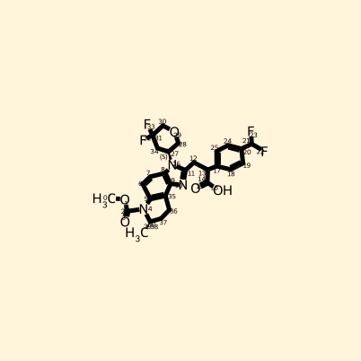 COC(=O)N1c2ccc3c(nc(CC(C(=O)O)c4ccc(C(F)F)cc4)n3[C@@H]3COCC(F)(F)C3)c2CC[C@@H]1C